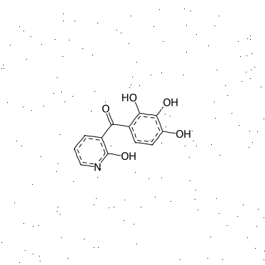 O=C(c1cccnc1O)c1ccc(O)c(O)c1O